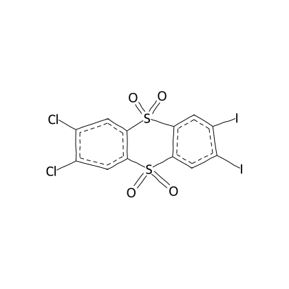 O=S1(=O)c2cc(Cl)c(Cl)cc2S(=O)(=O)c2cc(I)c(I)cc21